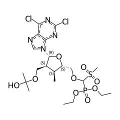 CCOP(=O)(OCC)C(OC[C@H]1O[C@@H](n2cnc3c(Cl)nc(Cl)nc32)[C@H](COC(C)(C)O)[C@@H]1C)S(C)(=O)=O